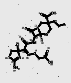 CCSC1(C(=O)O)CS[C@@H]2C(NC(=O)C(=NOCC(=O)O)C3(Cl)CSC(N)=N3)C(=O)N2C1